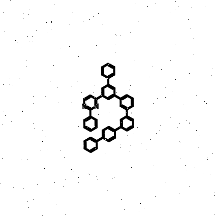 c1ccc(-c2ccc(-c3cccc(-c4cccc(-c5cc(-c6ccccc6)cc(-c6ccnc(-c7ccccc7)n6)c5)c4)c3)cc2)cc1